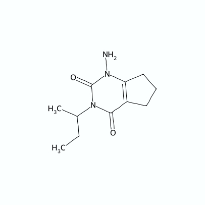 CCC(C)n1c(=O)c2c(n(N)c1=O)CCC2